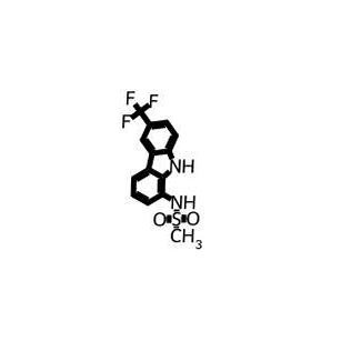 CS(=O)(=O)Nc1cccc2c1[nH]c1ccc(C(F)(F)F)cc12